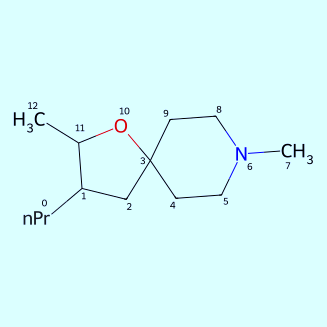 CCCC1CC2(CCN(C)CC2)OC1C